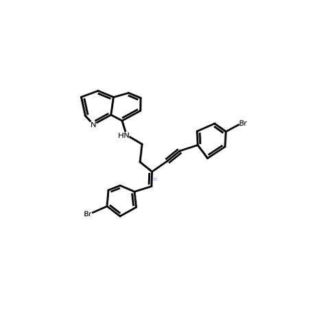 Brc1ccc(C#C/C(=C/c2ccc(Br)cc2)CCNc2cccc3cccnc23)cc1